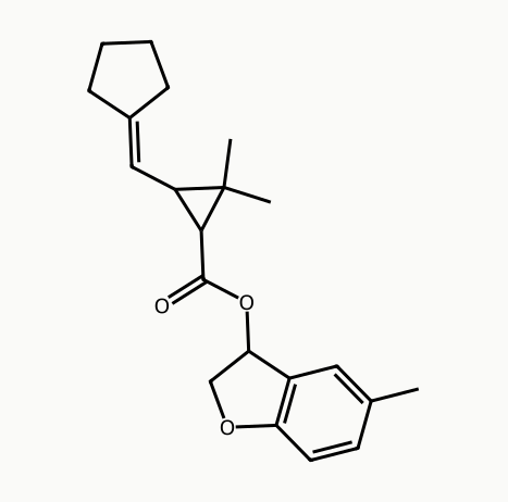 Cc1ccc2c(c1)C(OC(=O)C1C(C=C3CCCC3)C1(C)C)CO2